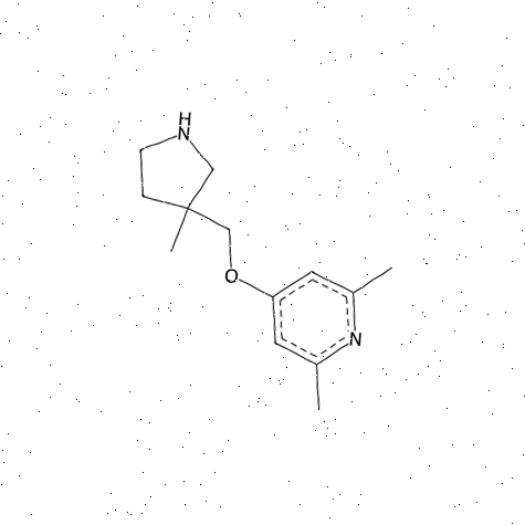 Cc1cc(OCC2(C)CCNC2)cc(C)n1